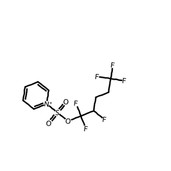 O=S(=O)(OC(F)(F)C(F)CCC(F)(F)F)[n+]1ccccc1